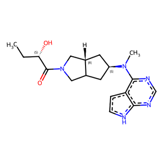 CC[C@H](O)C(=O)N1CC2C[C@H](N(C)c3ncnc4[nH]ccc34)C[C@H]2C1